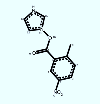 Cc1ccc([N+](=O)[O-])cc1C(=O)On1ccnc1